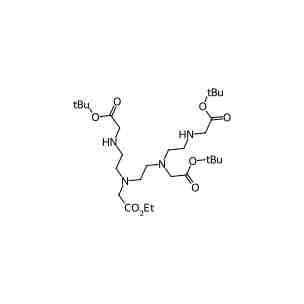 CCOC(=O)CN(CCNCC(=O)OC(C)(C)C)CCN(CCNCC(=O)OC(C)(C)C)CC(=O)OC(C)(C)C